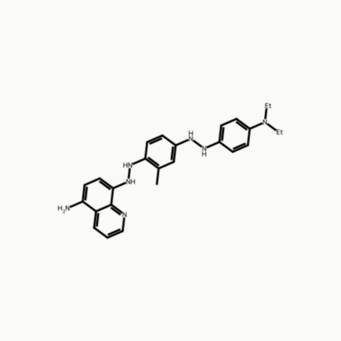 CCN(CC)c1ccc(NNc2ccc(NNc3ccc(N)c4cccnc34)c(C)c2)cc1